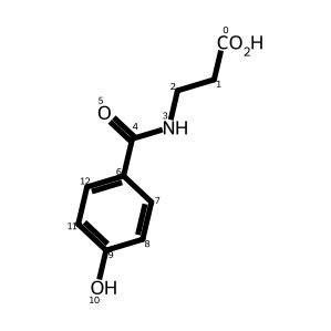 O=C(O)CCNC(=O)c1ccc(O)cc1